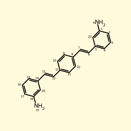 Nc1cccc(C=Cc2ccc(C=Cc3cccc(N)c3)cc2)c1